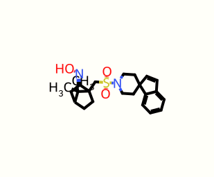 CC1(C)C2CCC1(CS(=O)(=O)N1CCC3(C=Cc4ccccc43)CC1)C(=NO)C2